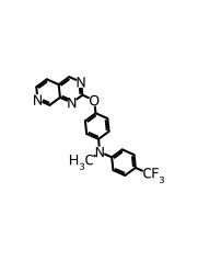 CN(c1ccc(Oc2ncc3ccncc3n2)cc1)c1ccc(C(F)(F)F)cc1